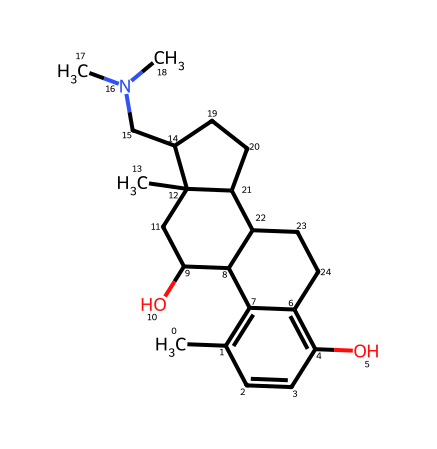 Cc1ccc(O)c2c1C1C(O)CC3(C)C(CN(C)C)CCC3C1CC2